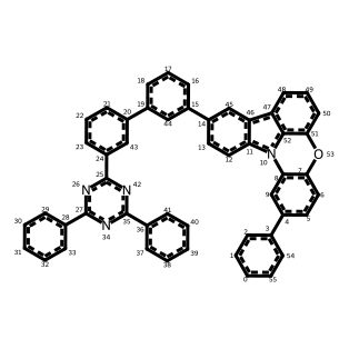 c1ccc(-c2ccc3c(c2)-n2c4ccc(-c5cccc(-c6cccc(-c7nc(-c8ccccc8)nc(-c8ccccc8)n7)c6)c5)cc4c4cccc(c42)O3)cc1